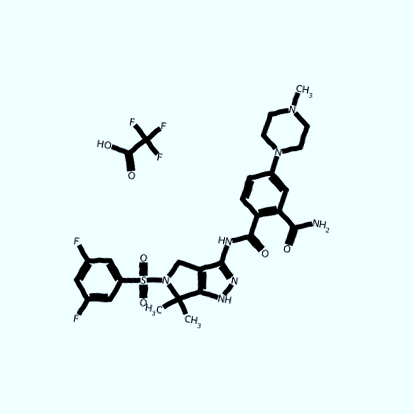 CN1CCN(c2ccc(C(=O)Nc3n[nH]c4c3CN(S(=O)(=O)c3cc(F)cc(F)c3)C4(C)C)c(C(N)=O)c2)CC1.O=C(O)C(F)(F)F